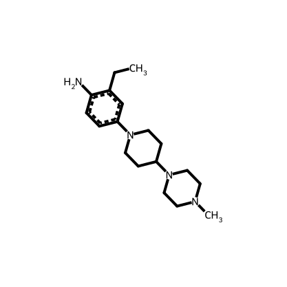 CCc1cc(N2CCC(N3CCN(C)CC3)CC2)ccc1N